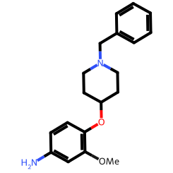 COc1cc(N)ccc1OC1CCN(Cc2ccccc2)CC1